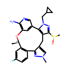 C[C@H]1Oc2cc(cnc2N)-c2c(c([S+](C)[O-])nn2CC2CC2)Cc2cn(C)nc2-c2ccc(F)cc21